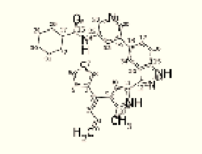 C=C/C=C(/c1ccsc1)c1cc(-c2n[nH]c3ccc(-c4cncc(NC(=O)C5CCCCC5)c4)cc23)[nH]c1C